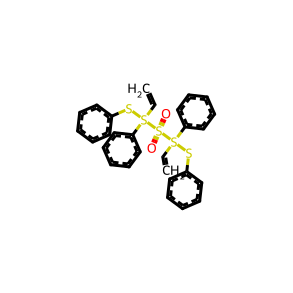 C=CS(Sc1ccccc1)(c1ccccc1)S(=O)(=O)S(C=C)(Sc1ccccc1)c1ccccc1